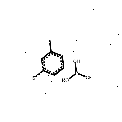 Cc1cccc(S)c1.OP(O)O